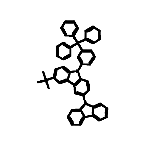 CS(C)(C)c1ccc2c(c1)c1cc(-n3c4ccccc4c4ccccc43)ccc1n2-c1cccc(S(c2ccccc2)(c2ccccc2)c2ccccc2)c1